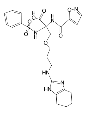 O=C(NC(COCCCNc1nc2c([nH]1)CCCC2)(NS(=O)(=O)c1ccccc1)C(=O)O)c1ccno1